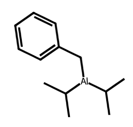 C[CH](C)[Al]([CH2]c1ccccc1)[CH](C)C